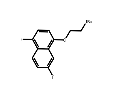 CC(C)(C)CCOc1ccc(F)c2ccc(F)cc12